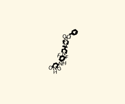 CC(C)(C1CCN(c2c(F)cc(NC3CCC(=O)NC3=O)cc2F)CC1)N1CCN(C(=O)OCc2ccccc2)CC1